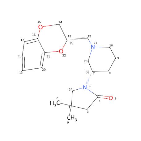 CC1(C)CC(=O)N([C@H]2CCCN(C[C@H]3COc4ccccc4O3)C2)C1